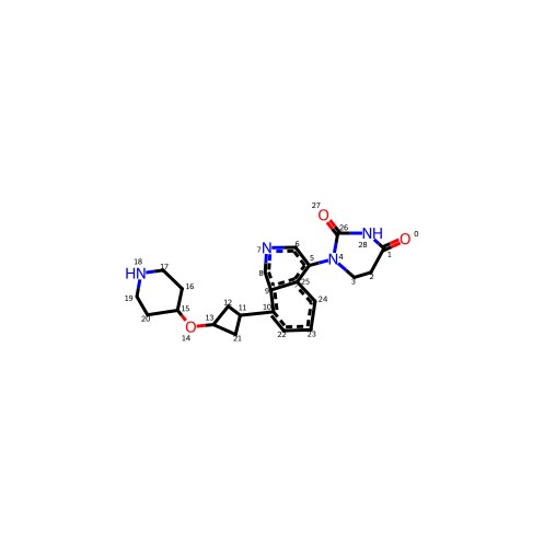 O=C1CCN(c2cncc3c(C4CC(OC5CCNCC5)C4)cccc23)C(=O)N1